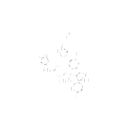 Cc1cccc(N2NC(CC(=O)Nc3cnn(C)c3)=CC2(c2cn[nH]c2)c2ccc(F)c(-c3cnn(CCO)c3)c2)n1